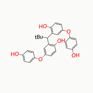 CC(C)(C)C(c1cc(Oc2ccc(O)cc2)ccc1O)c1cc(Oc2ccc(O)cc2)ccc1O